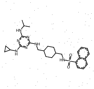 CC(C)Nc1nc(NCC2CCC(CNS(=O)(=O)c3cccc4ccccc34)CC2)nc(NC2CC2)n1